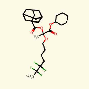 O=C(OC(OCCCCC(F)(F)C(F)(F)S(=O)(=O)O)(C(=O)OC1CCCCC1)C(F)(F)F)C12CC3CC(CC(C3)C1)C2